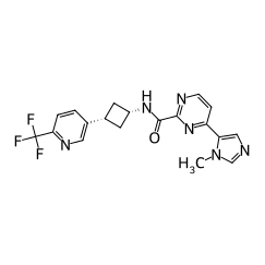 Cn1cncc1-c1ccnc(C(=O)N[C@H]2C[C@@H](c3ccc(C(F)(F)F)nc3)C2)n1